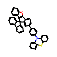 c1ccc2c(c1)Sc1ccccc1N2c1ccc(-c2ccc3c(c2)C2(c4ccccc4-c4ccccc42)c2c-3oc3ccccc23)cc1